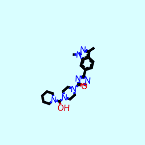 Cc1nn(C)c2cc(-c3noc(N4CCN(C(O)N5CCCCC5)CC4)n3)ccc12